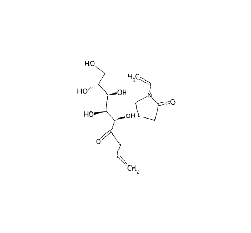 C=CCC(=O)[C@H](O)[C@@H](O)[C@H](O)[C@H](O)CO.C=CN1CCCC1=O